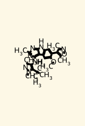 COc1cc2c(cc1-c1c(C)noc1C)[nH]c1nc(C)nc(Nc3c(C)nn(C)c3C(C)(C)C)c12